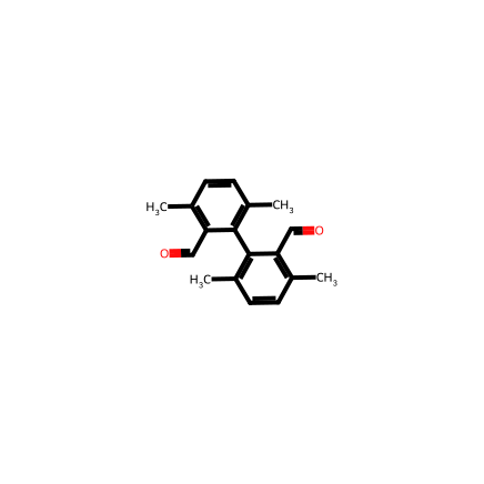 Cc1ccc(C)c(-c2c(C)ccc(C)c2C=O)c1C=O